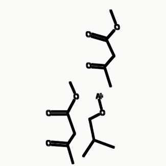 CC(C)C[O][Al].COC(=O)CC(C)=O.COC(=O)CC(C)=O